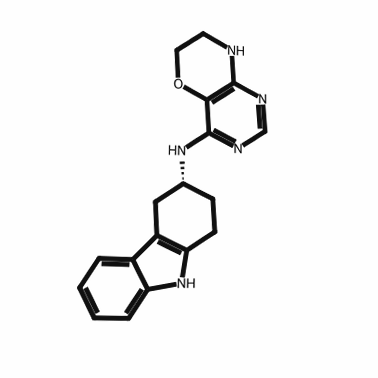 c1ccc2c3c([nH]c2c1)CC[C@@H](Nc1ncnc2c1OCCN2)C3